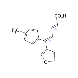 O=C(O)/C=C/C=C(\c1ccc(C(F)(F)F)cc1)c1ccoc1